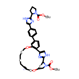 CC(C)(C)OC(=O)N1CCCC1c1nc(-c2ccc(-c3ccc4c(c3)OCCCCC/C=C/COC3CC(c5nc-4c[nH]5)N(C(=O)OC(C)(C)C)C3)cc2)c[nH]1